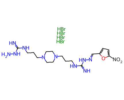 Br.Br.Br.Br.N=C(NN)NCCCN1CCN(CCCNC(=N)NN=Cc2ccc([N+](=O)[O-])o2)CC1